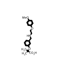 COc1ccc(OCCNCc2cccc(OC(C)(C)C(=O)O)c2)cc1